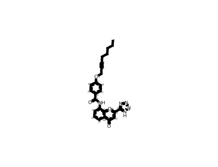 CCCCCC#CCOc1ccc(C(=O)Nc2cccc3c(=O)cc(-c4nnn[nH]4)oc23)cc1